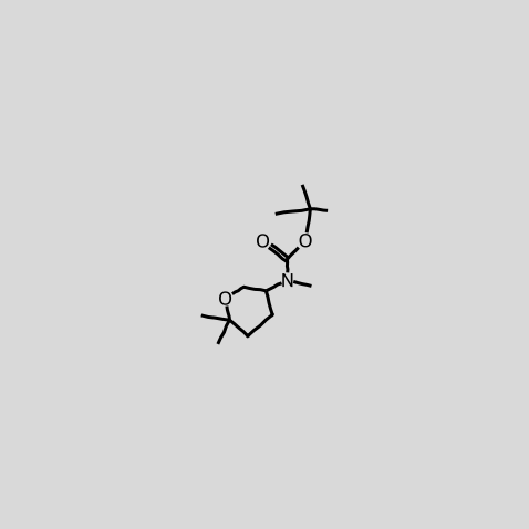 CN(C(=O)OC(C)(C)C)C1CCC(C)(C)OC1